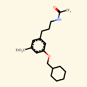 CCOC(=O)c1cc(CCCNC(=O)C(F)(F)F)cc(OCC2CCCCC2)c1